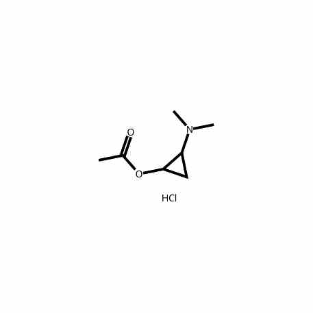 CC(=O)OC1CC1N(C)C.Cl